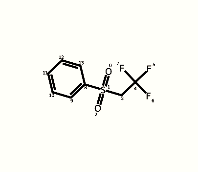 O=S(=O)(CC(F)(F)F)c1ccccc1